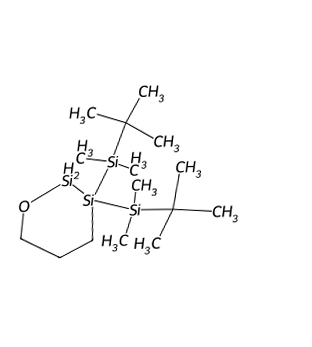 CC(C)(C)[Si](C)(C)[Si]1([Si](C)(C)C(C)(C)C)CCCO[SiH2]1